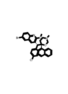 COc1nc2ccc(Br)cc2cc1[C@@H](c1ccc(Cl)cc1)[C@]1(c2cccc3ccccc23)CCN(C)CO1